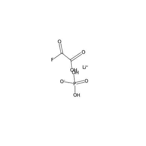 O=C(O)C(=O)F.O=P([O-])(O)O.[Li+]